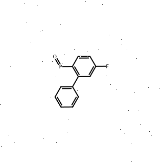 O=Pc1ccc(F)cc1-c1ccccc1